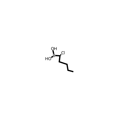 CCCC[C@H](Cl)B(O)O